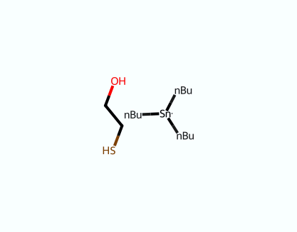 CCC[CH2][Sn]([CH2]CCC)[CH2]CCC.OCCS